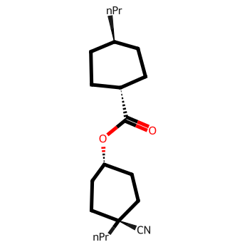 CCC[C@H]1CC[C@H](C(=O)O[C@H]2CC[C@@](C#N)(CCC)CC2)CC1